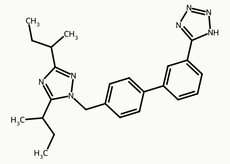 CCC(C)c1nc(C(C)CC)n(Cc2ccc(-c3cccc(-c4nnn[nH]4)c3)cc2)n1